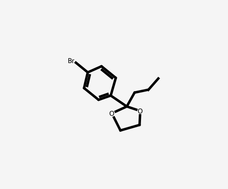 C[CH]CC1(c2ccc(Br)cc2)OCCO1